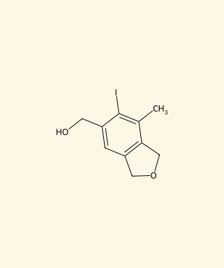 Cc1c(I)c(CO)cc2c1COC2